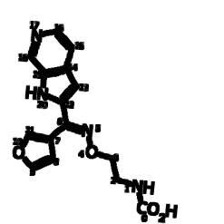 O=C(O)NCCON=C(c1ccoc1)c1cc2ccncc2[nH]1